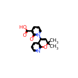 CC1(C)C=C(n2cccc(C(=O)O)c2=O)c2cccnc2O1